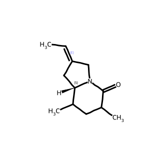 C/C=C1\C[C@H]2C(C)CC(C)C(=O)N2C1